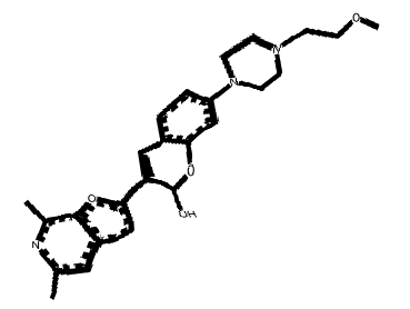 COCCN1CCN(c2ccc3c(c2)OC(O)C(c2cc4cc(C)nc(C)c4o2)=C3)CC1